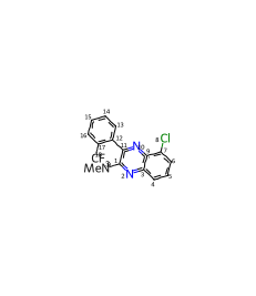 CNc1nc2cccc(Cl)c2nc1-c1ccccc1C(F)(F)F